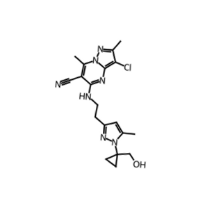 Cc1nn2c(C)c(C#N)c(NCCc3cc(C)n(C4(CO)CC4)n3)nc2c1Cl